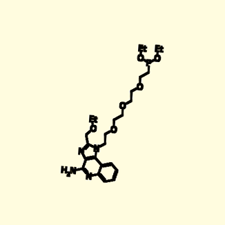 CCOCc1nc2c(N)nc3ccccc3c2n1CCOCCOCCOCCP(OCC)OCC